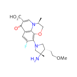 COCC[C@H]1CN(c2c(F)cc3c(=O)c(C(=O)O)cn4c3c2OC[C@@H]4C)C[C@@]1(C)N